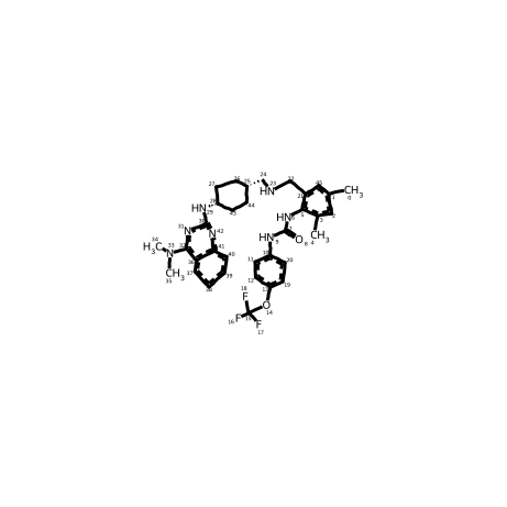 Cc1cc(C)c(NC(=O)Nc2ccc(OC(F)(F)F)cc2)c(CNC[C@H]2CC[C@@H](Nc3nc(N(C)C)c4ccccc4n3)CC2)c1